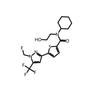 O=C(c1ccc(-c2cc(C(F)(F)F)n(CF)n2)s1)N(CCO)C1CCCCC1